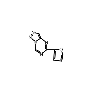 c1coc(-c2ncn3nncc3n2)c1